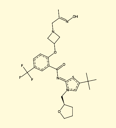 CC(CN1CC(Oc2ccc(C(F)(F)F)cc2C(=O)/N=c2\sc(C(C)(C)C)cn2C[C@H]2CCCO2)C1)=NO